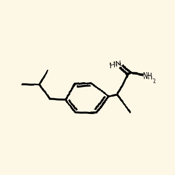 CC(C)Cc1ccc(C(C)C(=N)N)cc1